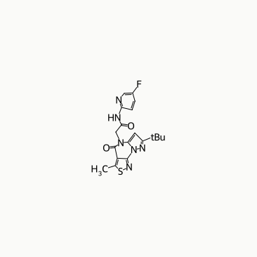 Cc1snc2c1c(=O)n(CC(=O)Nc1ccc(F)cn1)c1cc(C(C)(C)C)nn21